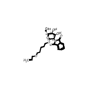 C=CCOCCCCCO[C@@H]1O[C@H](CO)[C@@H](O)[C@H](O)[C@H]1N1C(=O)c2ccccc2C1=O